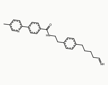 Cc1ccc(-c2ccc(C(=O)NCCc3ccc(CCCCC=N)cc3)cc2)nc1